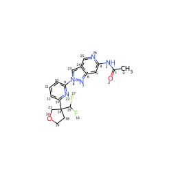 CC(=O)Nc1cc2nn(-c3cccc(C4(C(F)F)CCOC4)n3)cc2cn1